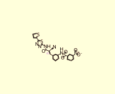 N#C/C(=C\c1cccc(NS(=O)(=O)c2cccc([N+](=O)[O-])c2)c1)C(=O)Nc1nnc(-c2cccs2)s1